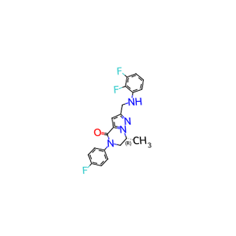 C[C@@H]1CN(c2ccc(F)cc2)C(=O)c2cc(CNc3cccc(F)c3F)nn21